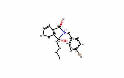 CCCCC1(O)C2=C(C=CCC2)C(=O)N1Cc1ccc(Br)cc1